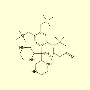 CC1(C)CC(=O)CC(C)(C)P1c1cc(C[Si](C)(C)C)c(C[Si](C)(C)C)cc1C(P)(C1CNCCN1)C1CNCCN1